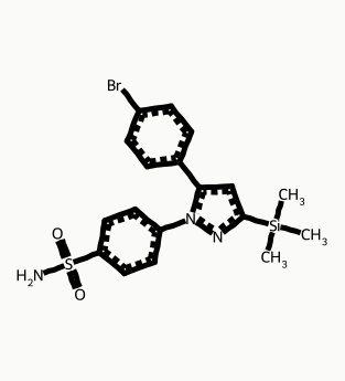 C[Si](C)(C)c1cc(-c2ccc(Br)cc2)n(-c2ccc(S(N)(=O)=O)cc2)n1